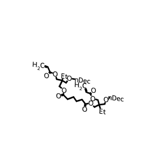 C=CC(=O)OCC(CC)(COCCCCCCCCCC)COC(=O)CCCCC(=O)OCC(CC)(COCCCCCCCCCC)COC(=O)C=C